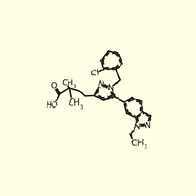 CCn1ncc2ccc(-c3cc(CCC(C)(C)C(=O)O)nn3Cc3ccccc3Cl)cc21